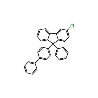 Clc1ccc2c(c1)-c1ccccc1C2(c1ccccc1)c1ccc(-c2ccccc2)cc1